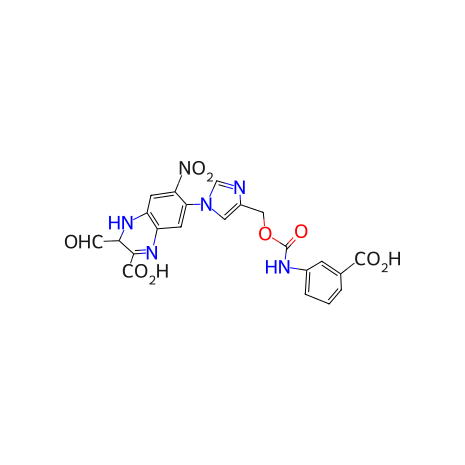 O=CC1Nc2cc([N+](=O)[O-])c(-n3cnc(COC(=O)Nc4cccc(C(=O)O)c4)c3)cc2N=C1C(=O)O